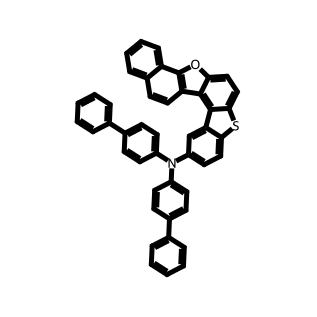 c1ccc(-c2ccc(N(c3ccc(-c4ccccc4)cc3)c3ccc4sc5ccc6oc7c8ccccc8ccc7c6c5c4c3)cc2)cc1